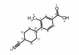 Cc1cc(C(=O)O)ccc1N1CCC(C#N)CC1